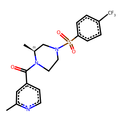 Cc1cc(C(=O)N2CCN(S(=O)(=O)c3ccc(C(F)(F)F)cc3)C[C@@H]2C)ccn1